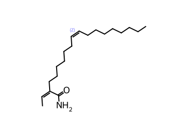 CC=C(CCCCCC/C=C\CCCCCCCC)C(N)=O